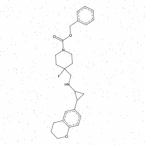 O=C(OCc1ccccc1)N1CCC(F)(CNC2CC2c2ccc3c(c2)CCCO3)CC1